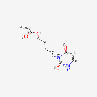 C=CC(=O)OCCCCCn1c(=O)cc[nH]c1=O